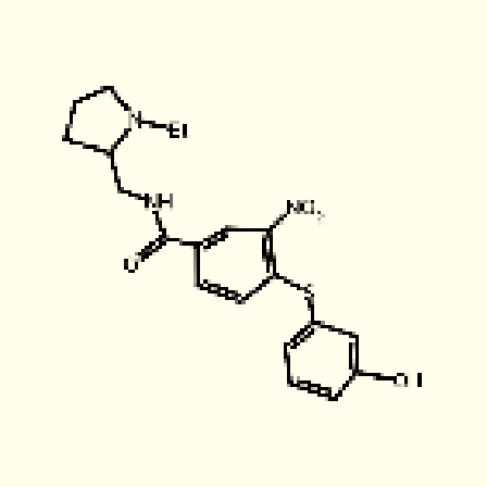 CCN1CCCC1CNC(=O)c1ccc(Sc2cccc(O)c2)c([N+](=O)[O-])c1